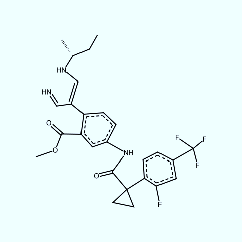 CC[C@@H](C)N/C=C(\C=N)c1ccc(NC(=O)C2(c3ccc(C(F)(F)F)cc3F)CC2)cc1C(=O)OC